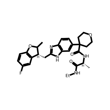 CCNC(=O)[C@@H](C)NC(=O)C1(c2ccc3nc(C[C@@H]4c5cc(F)ccc5OC4C)[nH]c3c2)CCOCC1